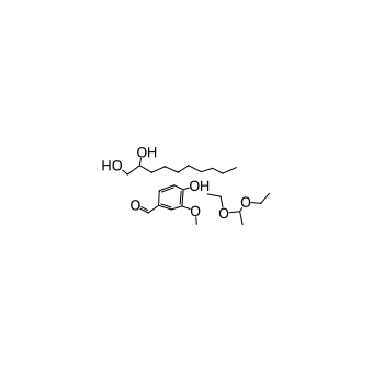 CCCCCCCCC(O)CO.CCOC(C)OCC.COc1cc(C=O)ccc1O